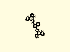 c1cncc(-c2ncccc2-c2ncc(-c3ccc(-c4cnc(-c5cccnc5-c5cccnc5)s4)c4ccccc34)s2)c1